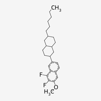 CCCCCCC1CCC2CC(c3ccc4cc(OC)c(F)c(F)c4c3)CCC2C1